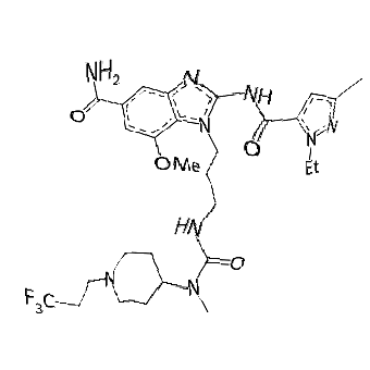 CCn1nc(C)cc1C(=O)Nc1nc2cc(C(N)=O)cc(OC)c2n1CCCNC(=O)N(C)C1CCN(CCC(F)(F)F)CC1